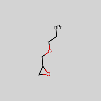 CCCC[CH]OCC1CO1